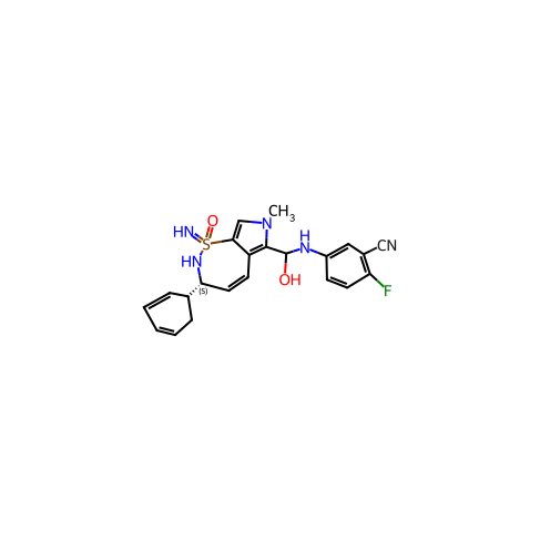 Cn1cc2c(c1C(O)Nc1ccc(F)c(C#N)c1)C=C[C@H](C1C=CC=CC1)NS2(=N)=O